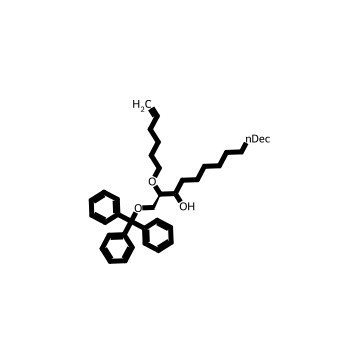 C=CCCCCO[C@H](COC(c1ccccc1)(c1ccccc1)c1ccccc1)C(O)CCCCCCCCCCCCCCCC